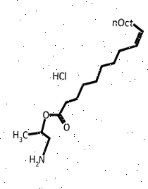 CCCCCCCC/C=C\CCCCCCCC(=O)OC(C)CN.Cl